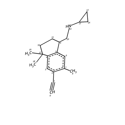 C#Cc1cc2c(cc1C)C(CNC1CC1)CCC2(C)C